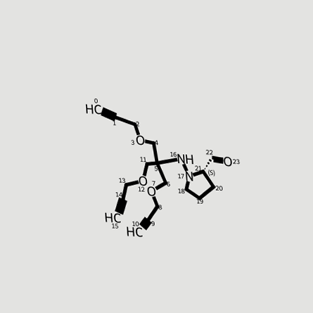 C#CCOCC(COCC#C)(COCC#C)NN1CCC[C@H]1C=O